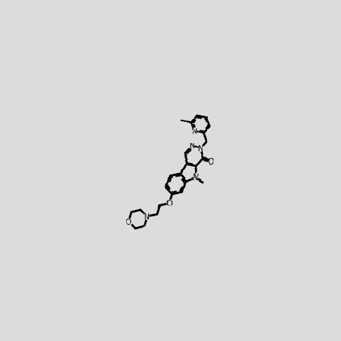 Cc1cccc(CN2N=CC3c4ccc(OCCN5CCOCC5)cc4N(C)C3C2=O)n1